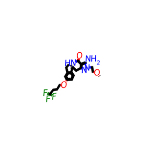 COCCn1nc2c(c1N)C(=O)N[C@@]1(CCc3cc(OCCCC(F)(F)F)ccc31)C2